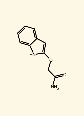 NC(=O)COc1cc2ccccc2[nH]1